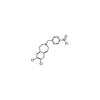 O=[N+]([O-])c1ccc(CN2CC=C3CC(Cl)=C(Cl)C=C3CC2)cc1